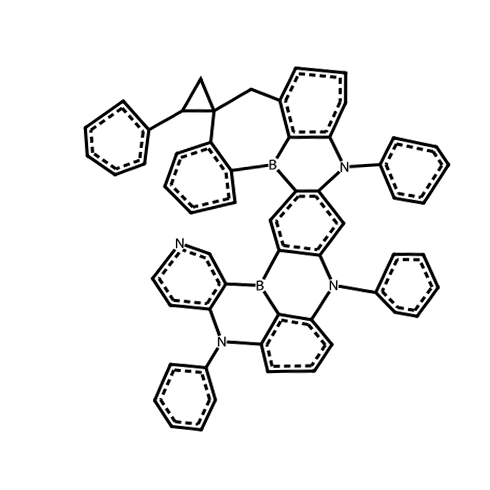 c1ccc(C2CC23Cc2cccc4c2B(c2cc5c(cc2N4c2ccccc2)N(c2ccccc2)c2cccc4c2B5c2cnccc2N4c2ccccc2)c2ccccc23)cc1